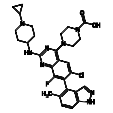 Cc1ccc2[nH]ncc2c1-c1c(Cl)cc2c(N3CCN(C(=O)O)CC3)nc(NC3CCN(C4CC4)CC3)nc2c1F